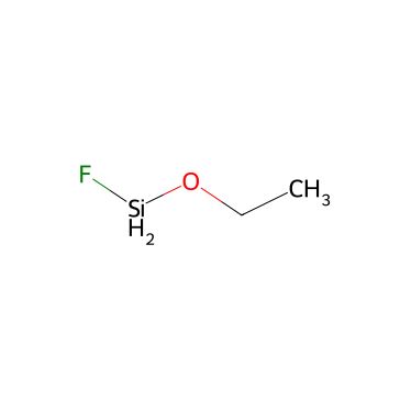 CCO[SiH2]F